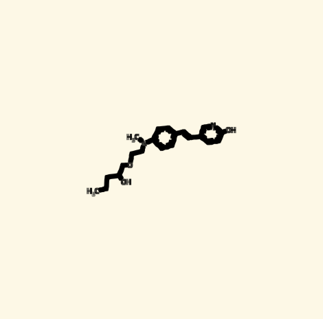 CCCC(O)COCCN(C)c1ccc(/C=C/c2ccc(O)nc2)cc1